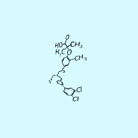 Cc1cc(SCC(CC#N)COc2ccc(Cl)c(Cl)c2)ccc1OC(C)(C)C(=O)O